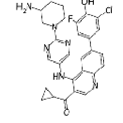 NC1CCCN(c2ncc(Nc3c(C(=O)C4CC4)cnc4ccc(-c5cc(F)c(O)c(Cl)c5)cc34)cn2)C1